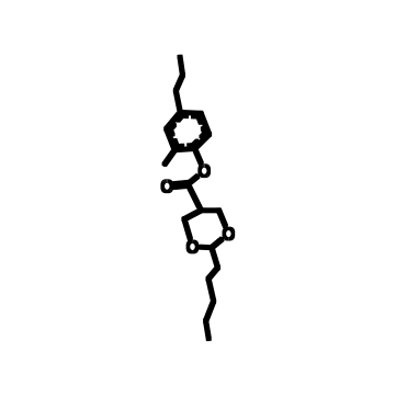 CCCCCC1OCC(C(=O)Oc2ccc(CCC)cc2C)CO1